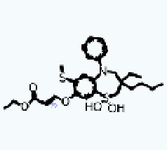 CCCCC1(CC)CN(c2ccccc2)c2cc(SC)c(O/C=C/C(=O)OCC)cc2S(O)(O)C1